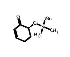 CC(C)(C)[Si](C)(C)O[C@H]1CCC=CC1=O